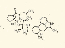 Cc1[nH]c2cccc3c2c1C[C@@H]1C3=C[C@@H](C(=O)N[C@]2(C(C)C)O[C@@]3(O)[C@@H]4CCCN4C(=O)[C@H](CC(C)C)N3C2=O)CC1C